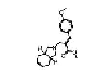 COC(=O)/C(=C/c1ccc(OC)cc1)CN1C[C@H]2CC=CC[C@H]2C1